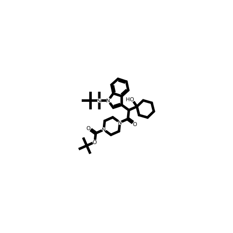 CC(C)(C)OC(=O)N1CCN(C(=O)C(c2cn([Si](C)(C)C(C)(C)C)c3ccccc23)C2(O)CCCCC2)CC1